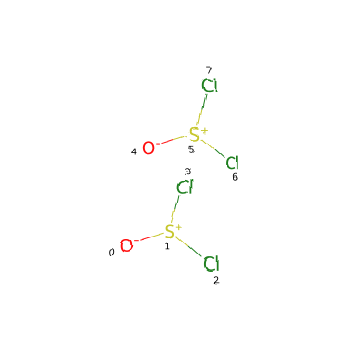 [O-][S+](Cl)Cl.[O-][S+](Cl)Cl